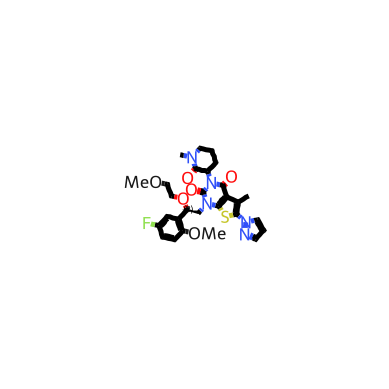 COCCO[C@@H](Cn1c(=O)n(C2CCCN(C)C2=O)c(=O)c2c(C)c(-n3cccn3)sc21)c1cc(F)ccc1OC